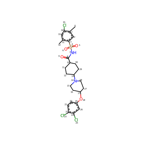 Cc1cc(S(=O)(=O)NC(=O)C2CCC(N3CCC(Oc4ccc(Cl)c(Cl)c4)CC3)CC2)c(C)cc1Cl